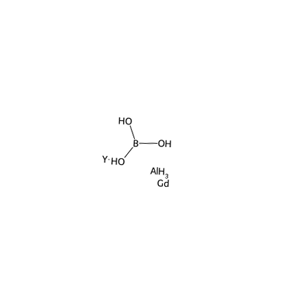 OB(O)O.[AlH3].[Gd].[Y]